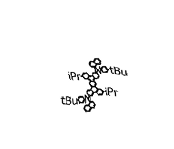 CC(C)c1ccc2c(c1)c1cc3c4ccc(N(c5ccc(C(C)(C)C)cc5)c5cccc6ccccc56)cc4c4ccc(C(C)C)cc4c3cc1c1ccc(N(c3ccc(C(C)(C)C)cc3)c3cccc4ccccc34)cc21